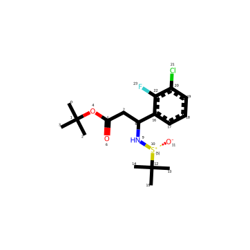 CC(C)(C)OC(=O)CC(N[S@+]([O-])C(C)(C)C)c1cccc(Cl)c1F